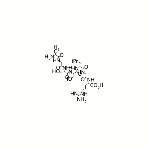 CC(C)C[C@H](NC(=O)[C@H](CO)NC(=O)[C@H](CO)NC(=O)CNC(=O)[C@H](C)N)C(=O)NCC(=O)N[C@@H](CCCNC(=N)N)C(=O)O